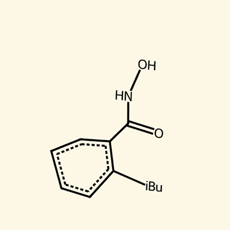 CCC(C)c1ccccc1C(=O)NO